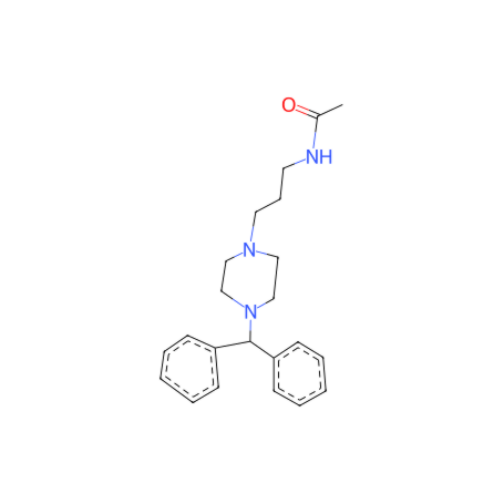 CC(=O)NCCCN1CCN(C(c2ccccc2)c2ccccc2)CC1